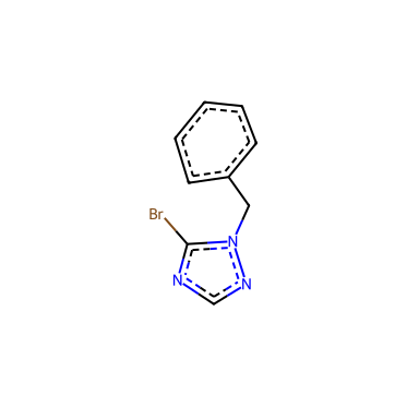 Brc1ncnn1Cc1ccccc1